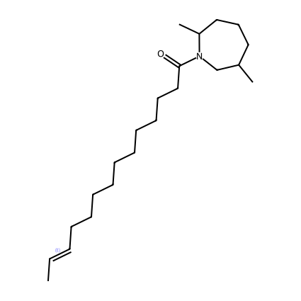 C/C=C/CCCCCCCCCCC(=O)N1CC(C)CCCC1C